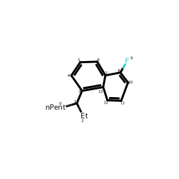 [CH2]CCCCC(CC)c1cccc2c(F)cccc12